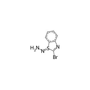 NN=S1C(Br)=Nc2ccccc21